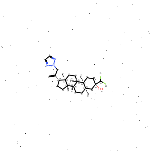 C=C(Cn1nccn1)[C@H]1CC[C@H]2[C@@H]3CC[C@@H]4C[C@](O)(C(F)F)CC[C@@H]4[C@H]3CC[C@]12C